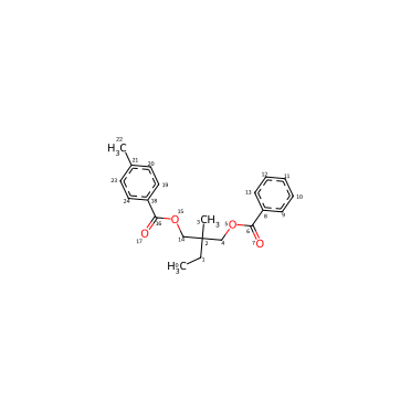 CCC(C)(COC(=O)c1ccccc1)COC(=O)c1ccc(C)cc1